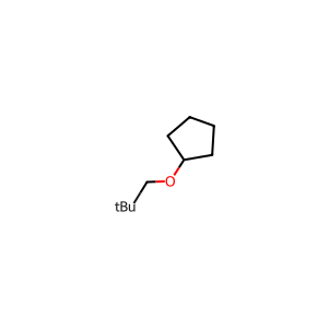 CC(C)(C)COC1CCCC1